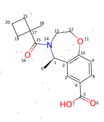 C[C@@H]1c2cc(C(=O)O)ccc2OCCN1C(=O)C1(C)CCC1